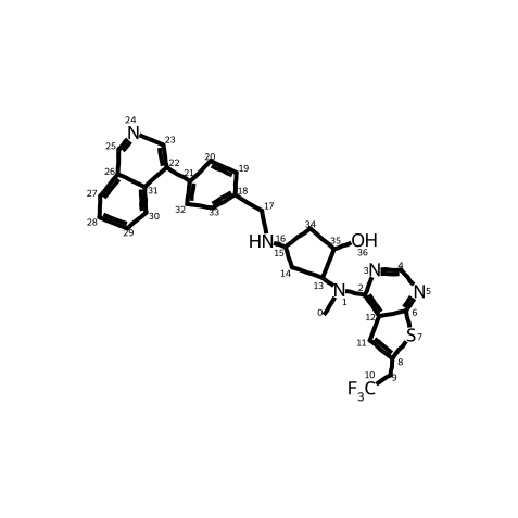 CN(c1ncnc2sc(CC(F)(F)F)cc12)C1CC(NCc2ccc(-c3cncc4ccccc34)cc2)CC1O